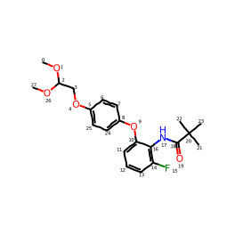 COC(COc1ccc(Oc2cccc(F)c2NC(=O)C(C)(C)C)cc1)OC